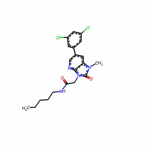 CCCCCNC(=O)Cn1c(=O)n(C)c2cc(-c3cc(Cl)cc(Cl)c3)cnc21